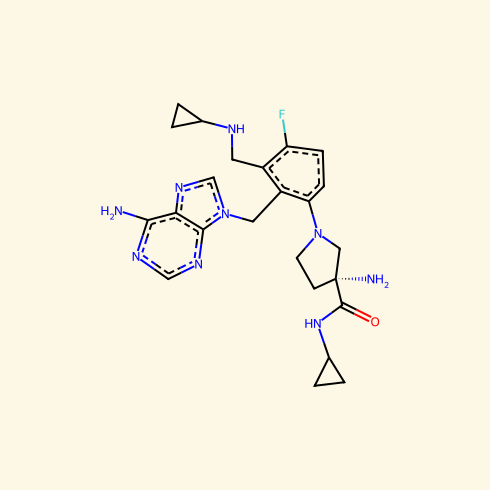 Nc1ncnc2c1ncn2Cc1c(N2CC[C@](N)(C(=O)NC3CC3)C2)ccc(F)c1CNC1CC1